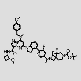 COc1ccc(CN(C)c2cc(N3CCc4c(-c5ncc(C(C)N6CC7(CCN(C(=O)OC(C)(C)C)CC7(F)F)C6)cc5F)cccc43)nn3c(C(=O)N[C@@H]4CC[C@H]4OC)cnc23)cc1